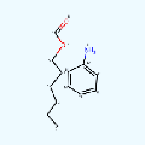 CCCCCCOC=O.Nc1ccccc1